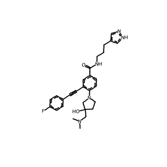 CN(C)CC1(O)CCN(c2ccc(C(=O)NCCCc3cn[nH]c3)cc2C#Cc2ccc(F)cc2)C1